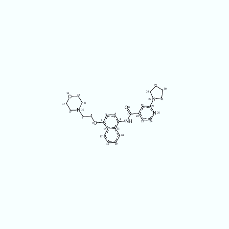 O=C(Nc1ccc(OCCN2CCOCC2)c2ccccc12)c1ccnc(N2CCCC2)c1